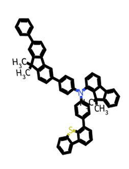 CC1(C)c2ccc(-c3ccc(N(c4ccc(-c5cccc6c5sc5ccccc56)cc4)c4cccc5c4C(C)(C)c4ccccc4-5)cc3)cc2-c2ccc(-c3ccccc3)cc21